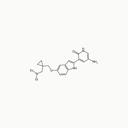 CCN(CC)CC1(COc2ccc3[nH]c(-c4cc(N)c[nH]c4=O)cc3c2)CC1